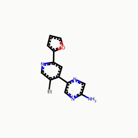 CCc1cnc(-c2ccco2)cc1-c1cnc(N)cn1